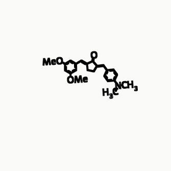 COc1cc(/C=C2\CC/C(=C\c3ccc(N(C)C)cc3)C2=O)cc(OC)c1